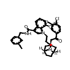 Cc1cccc(CNC(=O)c2cn(CCCN3[C@@H]4CC[C@H]3C[C@H](CC(=O)c3ccc(Cl)c(Cl)c3)C4)c3c(OC(C)C)cccc23)c1